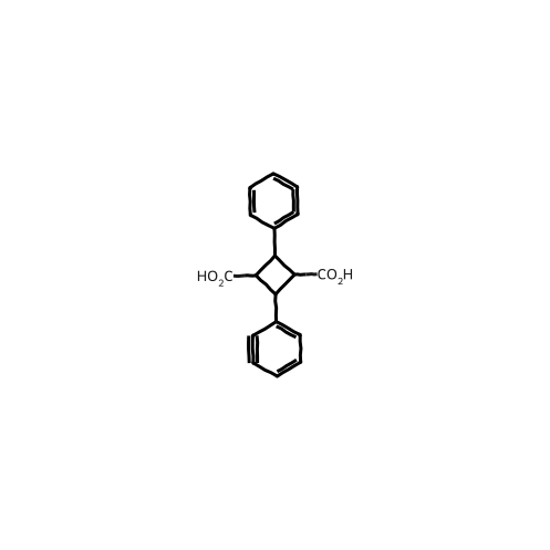 O=C(O)C1C(C2=C=C=CC=C2)C(C(=O)O)C1c1c#cccc1